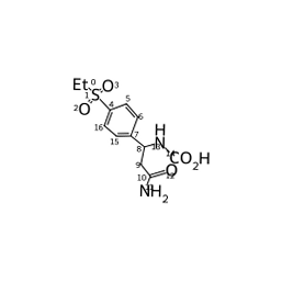 CCS(=O)(=O)c1ccc(C(CC(N)=O)NC(=O)O)cc1